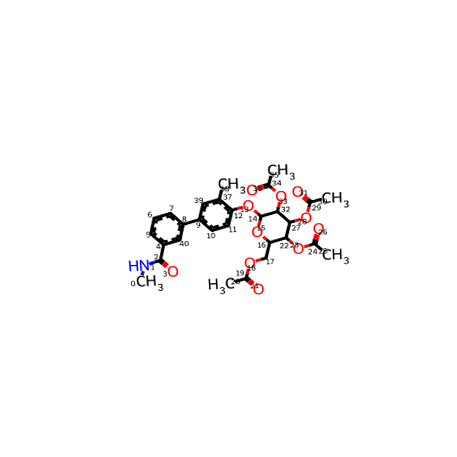 CNC(=O)c1cccc(-c2ccc(OC3OC(COC(C)=O)C(OC(C)=O)C(OC(C)=O)C3OC(C)=O)c(C)c2)c1